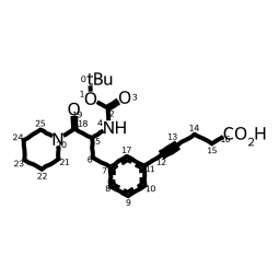 CC(C)(C)OC(=O)NC(Cc1cccc(C#CCCC(=O)O)c1)C(=O)N1CCCCC1